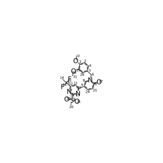 COc1ccc(Cn2cc(-c3cc(C(C)(F)F)nc(S(C)(=O)=O)n3)ccc2=O)cc1OC